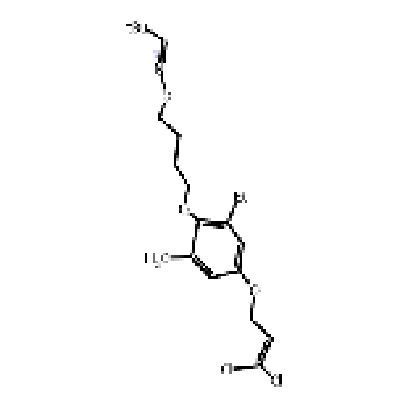 CCc1cc(OCC=C(Cl)Cl)cc(C)c1OCCCCO/N=C/C(C)(C)C